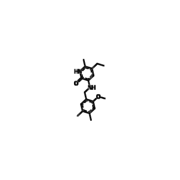 CCc1cc(NCc2cc(C)c(C)cc2OC)c(=O)[nH]c1C